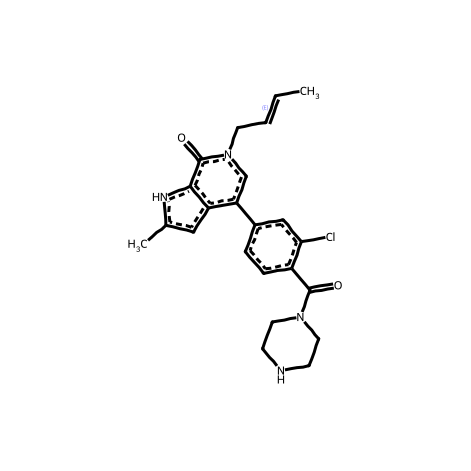 C/C=C/Cn1cc(-c2ccc(C(=O)N3CCNCC3)c(Cl)c2)c2cc(C)[nH]c2c1=O